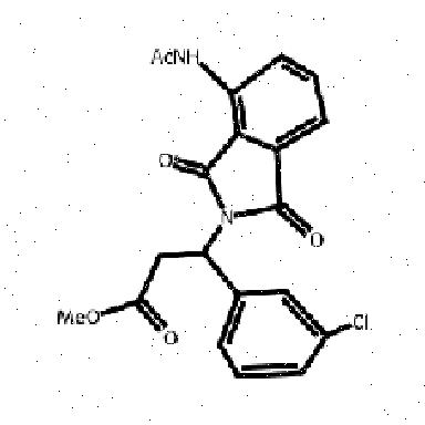 COC(=O)CC(c1cccc(Cl)c1)N1C(=O)c2cccc(NC(C)=O)c2C1=O